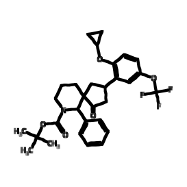 CC(C)(C)OC(=O)N1CCCC2(CC(c3cc(OC(F)(F)F)ccc3OC3CC3)CC2=O)C1c1ccccc1